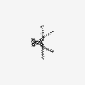 CCCCCCCCCCN(CCCCCCCCCC)c1ccc(N(c2ccc(N(CCCCCCCCCC)CCCCCCCCCC)cc2)C2C=CC(N(c3ccccc3)c3ccccc3)C(C)=C2)cc1